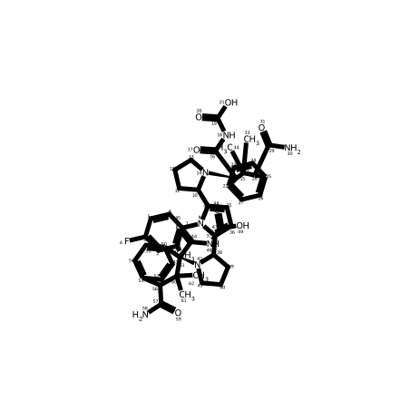 Cc1cc(F)ccc1-n1c(C2CCCN2[C@]2(C(=O)NC(=O)O)c3ccc(cc3)C(C(N)=O)C2(C)C)ccc1C1CCCN1[C@]1(C(=O)NC(=O)O)c2ccc(cc2)C(C(N)=O)C1(C)C